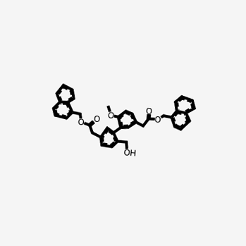 COc1ccc(CC(=O)OCc2cccc3ccccc23)cc1-c1cc(CC(=O)OCc2cccc3ccccc23)ccc1CO